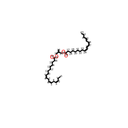 CC/C=C\C/C=C\C/C=C\CCCCCCCC(=O)OCC(C)COC(=O)CCCCCCC/C=C\C/C=C\CCCCC